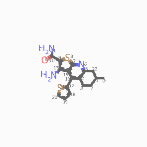 CC1CCc2c(nc3sc(C(N)=O)c(N)c3c2-c2cccs2)C1